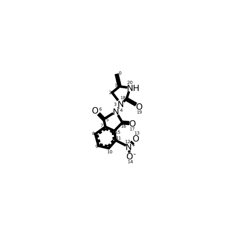 C=C1CN(N2C(=O)c3cccc([N+](=O)[O-])c3C2=O)C(=O)N1